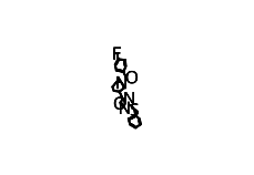 O=C(c1ccc(F)cc1)N1CCCC(c2nc(Sc3ccccc3)no2)C1